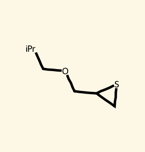 CC(C)COCC1CS1